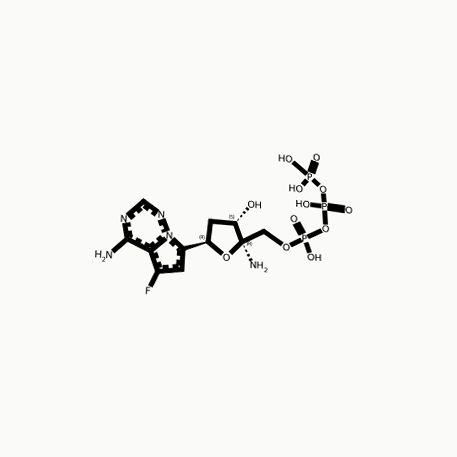 Nc1ncnn2c([C@H]3C[C@H](O)[C@@](N)(COP(=O)(O)OP(=O)(O)OP(=O)(O)O)O3)cc(F)c12